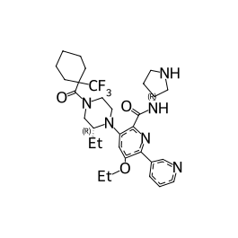 CCOc1cc(N2CCN(C(=O)C3(C(F)(F)F)CCCCC3)C[C@H]2CC)c(C(=O)N[C@@H]2CCNC2)nc1-c1cccnc1